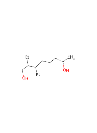 CCC(CO)C(CC)CCCC(C)O